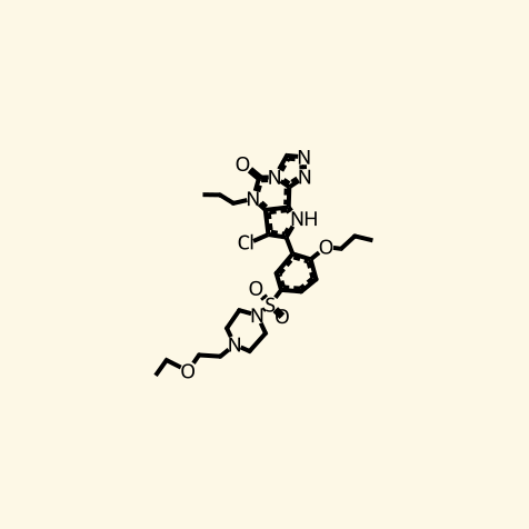 CCCOc1ccc(S(=O)(=O)N2CCN(CCOCC)CC2)cc1-c1[nH]c2c(c1Cl)n(CCC)c(=O)n1cnnc21